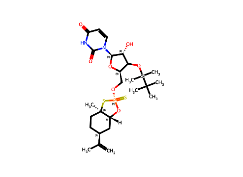 C=C(C)[C@H]1CC[C@@]2(C)S[P@](=S)(OC[C@H]3O[C@@H](n4ccc(=O)[nH]c4=O)[C@H](O)C3O[Si](C)(C)C(C)(C)C)O[C@@H]2C1